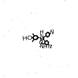 CNC(=O)c1cc(N(C)C)ccc1-c1nc(-c2cc(C)c(O)c(C)c2)[nH]c1-c1ccc(N(C)C)cc1